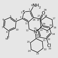 Nc1sc(-c2cccc(F)c2)c(CN(C2CCCCC2)C2CCCCC2)c1C(=O)c1ccc(Cl)cc1